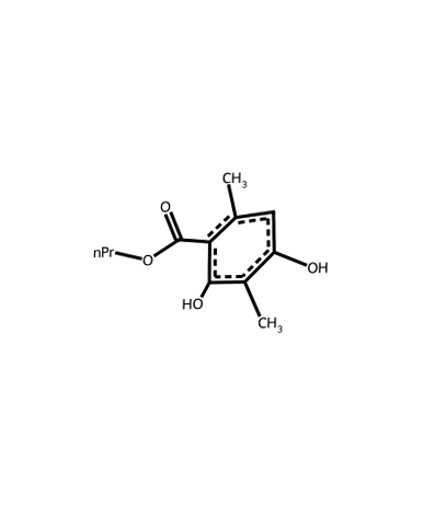 CCCOC(=O)c1c(C)cc(O)c(C)c1O